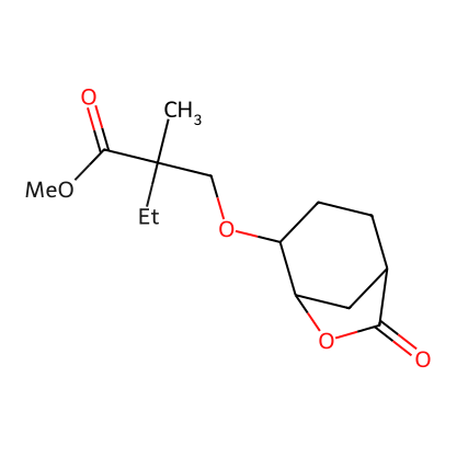 CCC(C)(COC1CCC2CC1OC2=O)C(=O)OC